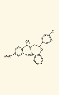 COc1ccc(C(N2Cc3ccccc3OC(c3ccc(Cl)cc3)C2)C(F)(F)F)c(OC)c1